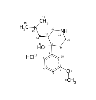 COc1cccc([C@]2(O)CCNC[C@@H]2CN(C)C)c1.Cl